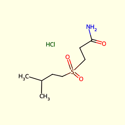 CC(C)CCS(=O)(=O)CCC(N)=O.Cl